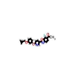 CC(=O)c1ccc2nc(-c3ccc(Oc4cccc(OCC5CC5)c4)nc3)oc2c1F